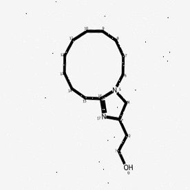 OCCC1CN2CCCCCCCCCCC2=N1